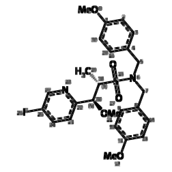 COc1ccc(CN(Cc2ccc(OC)cc2)S(=O)(=O)[C@@H](C)[C@@H](OC)c2ccc(F)cn2)cc1